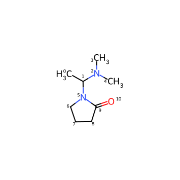 CC(N(C)C)N1CCCC1=O